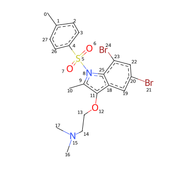 Cc1ccc(S(=O)(=O)n2c(C)c(OCCN(C)C)c3cc(Br)cc(Br)c32)cc1